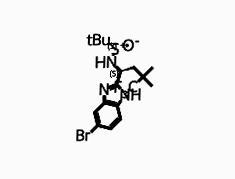 CC(C)(C)[S@@+]([O-])N[C@@H](CC(C)(C)C(F)(F)F)c1nc2cc(Br)ccc2[nH]1